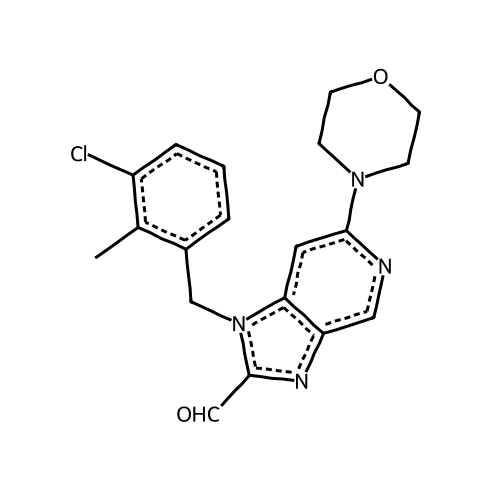 Cc1c(Cl)cccc1Cn1c(C=O)nc2cnc(N3CCOCC3)cc21